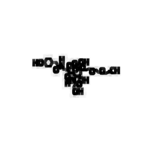 C#CCOCCOCCO[C@]1(C(=O)O)C[C@H](O)[C@@H](NC(=O)CO)[C@H]([C@H](O)[C@H](O)CNC(=O)CC2CCC(O)CC2)O1